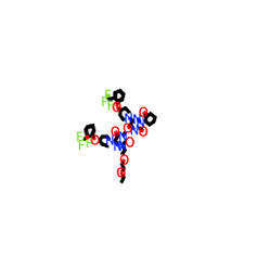 CCOCCOCCn1nc(N2CCC(Oc3ccccc3C(F)(F)F)CC2)c(=O)n(C)c1=O.Cn1c(=O)c(N2CCC(Oc3ccccc3C(F)(F)F)CC2)nn(C2CCCCC2=O)c1=O